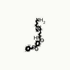 NCCCN1CCN(CCCNC(=O)[C@H]2CC[C@@H](C(=O)OCc3ccccc3)CC2)CC1